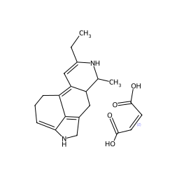 CCC1=CC2=C3CCC=C4NCC(=C43)CC2C(C)N1.O=C(O)/C=C\C(=O)O